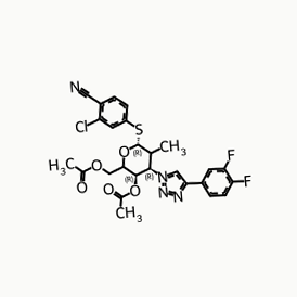 CC(=O)OCC1O[C@H](Sc2ccc(C#N)c(Cl)c2)C(C)[C@@H](n2cc(-c3ccc(F)c(F)c3)nn2)[C@H]1OC(C)=O